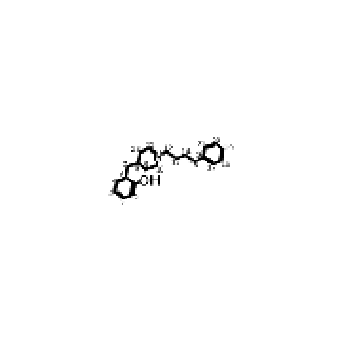 Oc1ccccc1CC1CCN(CCCCc2ccccc2)CC1